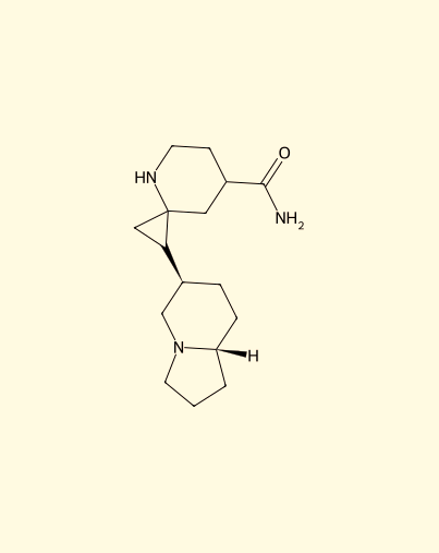 NC(=O)C1CCNC2(C1)CC2[C@H]1CC[C@@H]2CCCN2C1